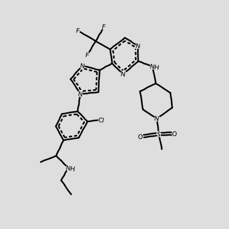 CCNC(C)c1ccc(-n2cnc(-c3nc(NC4CCN(S(C)(=O)=O)CC4)ncc3C(F)(F)F)c2)c(Cl)c1